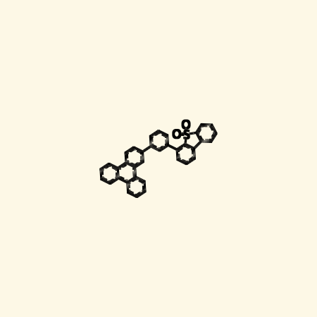 O=S1(=O)c2ccccc2-c2cccc(-c3cccc(-c4ccc5c6ccccc6c6ccccc6c5c4)c3)c21